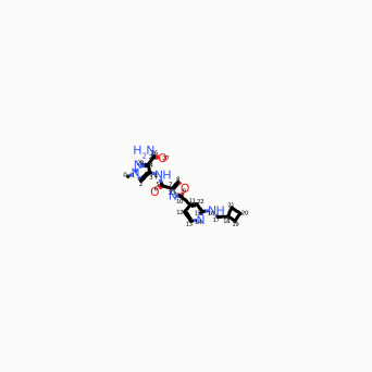 Cn1cc(NC(=O)c2coc(-c3ccnc(NCC4CCC4)c3)n2)c(C(N)=O)n1